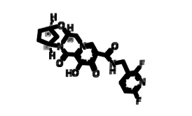 O=C(NCc1ccc(F)nc1F)c1cn2c(c(O)c1=O)C(=O)N1[C@H]3CC[C@H](C3)O[C@@H]1C2